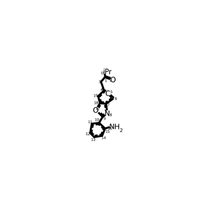 CC(C)C(=O)Cc1ccc2nc(-c3ccccc3N)oc2c1